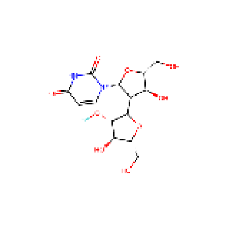 O=c1ccn([C@@H]2O[C@H](CO)[C@@H](O)C2C2O[C@H](CO)[C@@H](O)[C@@H]2OF)c(=O)[nH]1